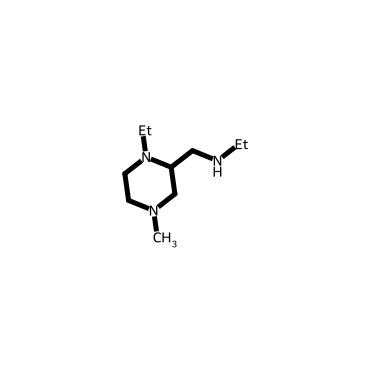 CCNCC1CN(C)CCN1CC